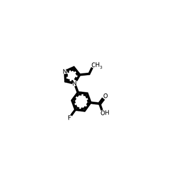 CCc1cncn1-c1cc(F)cc(C(=O)O)c1